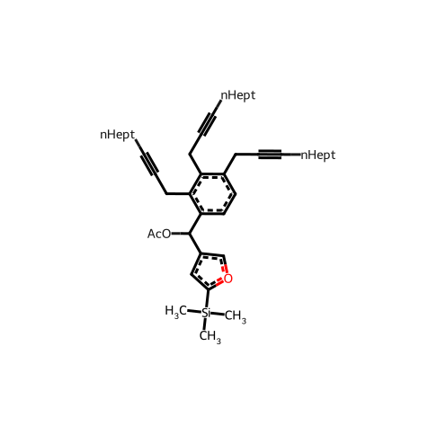 CCCCCCCC#CCc1ccc(C(OC(C)=O)c2coc([Si](C)(C)C)c2)c(CC#CCCCCCCC)c1CC#CCCCCCCC